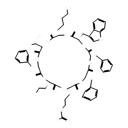 C[C@@H](O)[C@@H]1NC(=O)[C@H](CCCCN)NC(=O)[C@@H](Cc2c[nH]c3ccccc23)NC(=O)[C@H](Cc2ccccc2)NC(=O)[C@H](Cc2ccccc2)NC(=O)[C@H](CCCNC(=N)N)NC(=O)[C@@H](CCN)NC(=O)[C@H](Cc2ccccc2)NC1=O